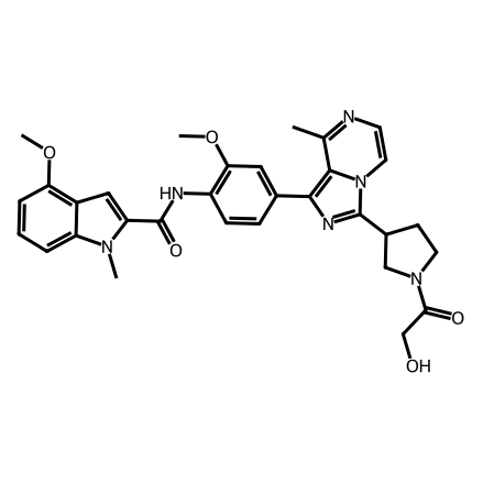 COc1cc(-c2nc(C3CCN(C(=O)CO)C3)n3ccnc(C)c23)ccc1NC(=O)c1cc2c(OC)cccc2n1C